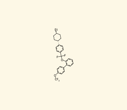 CC[C@H]1CC[C@H](c2ccc(C(F)(F)Oc3ccccc3-c3ccc(OC(F)(F)F)cc3)cc2)CC1